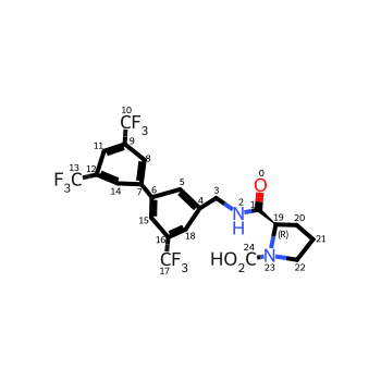 O=C(NCc1cc(-c2cc(C(F)(F)F)cc(C(F)(F)F)c2)cc(C(F)(F)F)c1)[C@H]1CCCN1C(=O)O